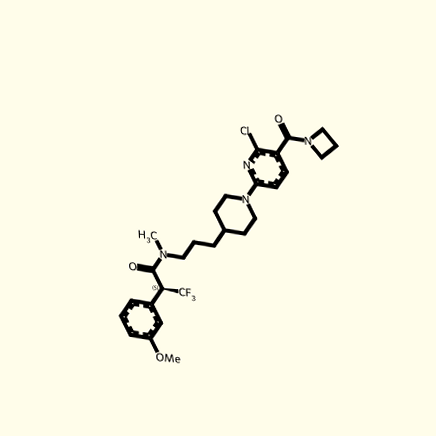 COc1cccc([C@@H](C(=O)N(C)CCCC2CCN(c3ccc(C(=O)N4CCC4)c(Cl)n3)CC2)C(F)(F)F)c1